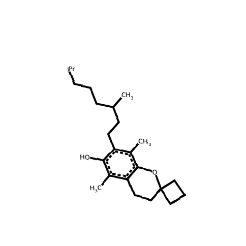 Cc1c(O)c(CCC(C)CCCC(C)C)c(C)c2c1CCC1(CCC1)O2